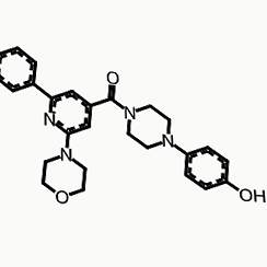 O=C(c1cc(-c2ccccc2)nc(N2CCOCC2)c1)N1CCN(c2ccc(O)cc2)CC1